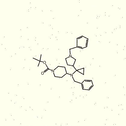 CC(C)(C)OC(=O)N1CCC(N(Cc2ccccc2)C2(C3CCN(Cc4ccccc4)C3)CC2)CC1